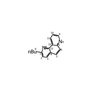 CCCCc1ccc2ccc3ncccc3c2n1